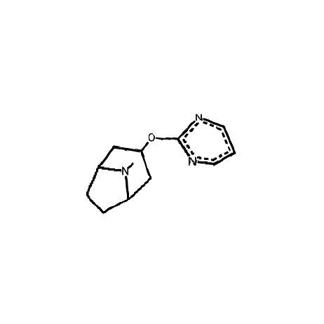 CN1C2CCC1CC(Oc1ncccn1)C2